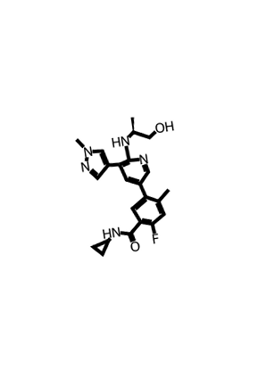 Cc1cc(F)c(C(=O)NC2CC2)cc1-c1cnc(N[C@@H](C)CO)c(-c2cnn(C)c2)c1